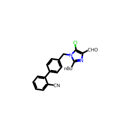 CCCCc1nc(C=O)c(Cl)n1Cc1ccc(-c2ccccc2C#N)cc1